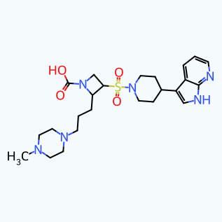 CN1CCN(CCCC2C(S(=O)(=O)N3CCC(c4c[nH]c5ncccc45)CC3)CN2C(=O)O)CC1